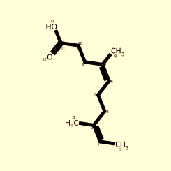 C/C=C(/C)CC/C=C(/C)CCC(=O)O